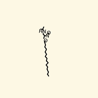 CCCCCCCCCCCCCCCCOCC(CNC(C)C)N=O